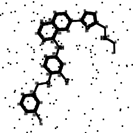 CCNCc1ccc(-c2ccc3ncnc(Nc4ccc(OCc5cccc(F)c5)c(Cl)c4)c3c2)o1